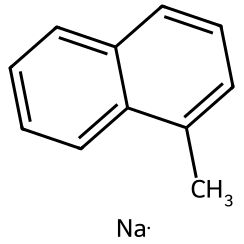 Cc1cccc2ccccc12.[Na]